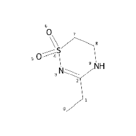 CCC1=NS(=O)(=O)CCN1